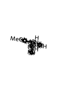 COc1ccc(-c2cc(OC(=O)NC3CCNCC3)c(NC(=O)Nc3cnccn3)s2)cc1